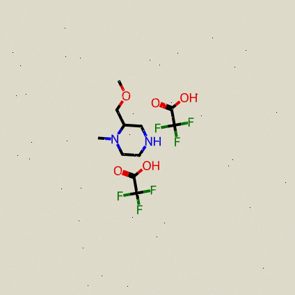 COCC1CNCCN1C.O=C(O)C(F)(F)F.O=C(O)C(F)(F)F